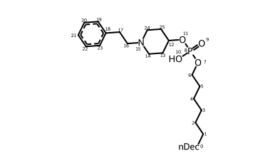 CCCCCCCCCCCCCCCCOP(=O)(O)OC1CCN(CCc2ccccc2)CC1